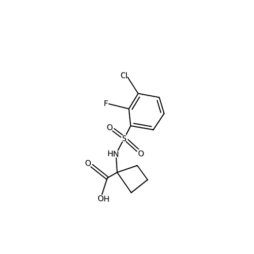 O=C(O)C1(NS(=O)(=O)c2cccc(Cl)c2F)CCC1